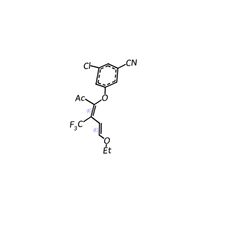 CCO/C=C/C(=C(\Oc1cc(Cl)cc(C#N)c1)C(C)=O)C(F)(F)F